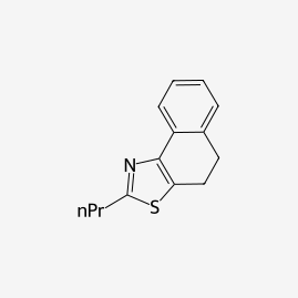 CCCc1nc2c(s1)CCc1ccccc1-2